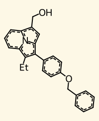 CCc1c(-c2ccc(OCc3ccccc3)cc2)c2cc(CO)c3cccc1n32